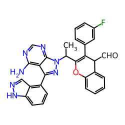 CC(C1=C(c2cccc(F)c2)C(C=O)c2ccccc2O1)n1nc(-c2cccc3[nH]ncc23)c2c(N)ncnc21